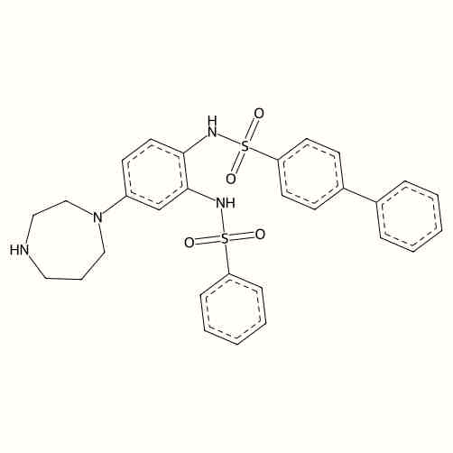 O=S(=O)(Nc1ccc(N2CCCNCC2)cc1NS(=O)(=O)c1ccccc1)c1ccc(-c2ccccc2)cc1